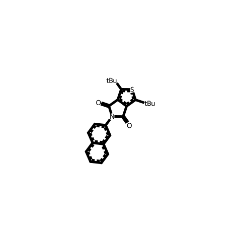 CC(C)(C)c1sc(C(C)(C)C)c2c1C(=O)N(c1ccc3ccccc3c1)C2=O